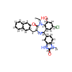 CCN1C(=O)C(Cc2ccc3ccccc3c2)N=C(c2ccc3c(c2)[nH]c(=O)n3C)c2cc(Cl)cc(O)c21